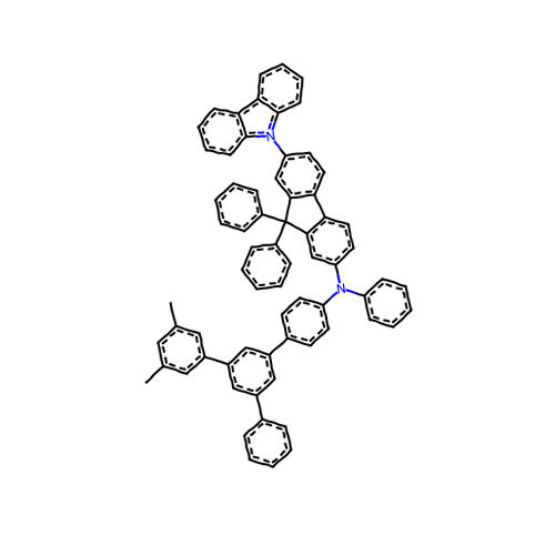 Cc1cc(C)cc(-c2cc(-c3ccccc3)cc(-c3ccc(N(c4ccccc4)c4ccc5c(c4)C(c4ccccc4)(c4ccccc4)c4cc(-n6c7ccccc7c7ccccc76)ccc4-5)cc3)c2)c1